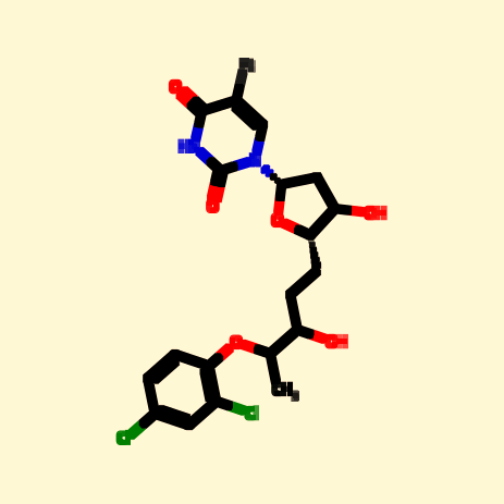 CCc1cn([C@@H]2CC(O)[C@H](CCC(O)C(C)Oc3ccc(Cl)cc3Cl)O2)c(=O)[nH]c1=O